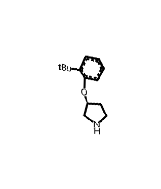 CC(C)(C)c1ccccc1O[C@H]1CCNC1